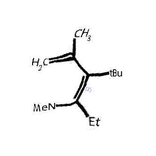 C=C(C)/C(=C(/CC)NC)C(C)(C)C